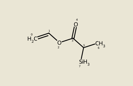 C=COC(=O)C(C)[SiH3]